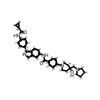 O=C(Nc1ccc2c(cnn2-c2ccc(NC(=O)C3CC3)cc2)c1)c1ccc(N2CCC(O)(CN3CCCC3)CC2)cc1